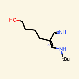 CC(C)(C)N/C=C(\C=N)CCCCO